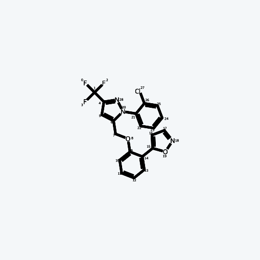 FC(F)(F)c1cc(COc2ccccc2-c2ccno2)n(-c2ccccc2Cl)n1